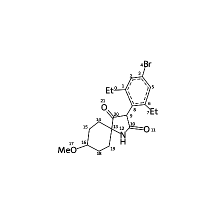 CCc1cc(Br)cc(CC)c1C1C(=O)NC2(CCC(OC)CC2)C1=O